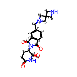 O=C1CCC(N2C(=O)c3ccc(CN4CC5(CNC5)C4)cc3C2=O)C(=O)N1